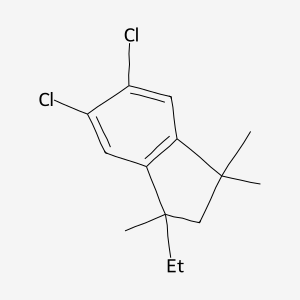 CCC1(C)CC(C)(C)c2cc(Cl)c(Cl)cc21